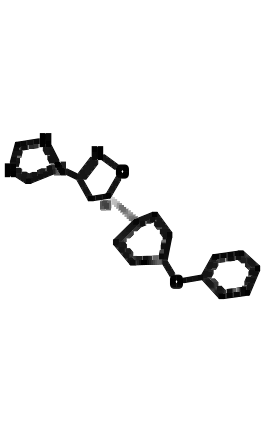 c1ccc(Oc2ccc([C@@H]3CC(n4cncn4)=NO3)cc2)cc1